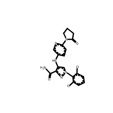 NC(=O)c1nn(-c2c(Cl)cccc2Cl)cc1Nc1ccc(N2CCCC2=O)nc1